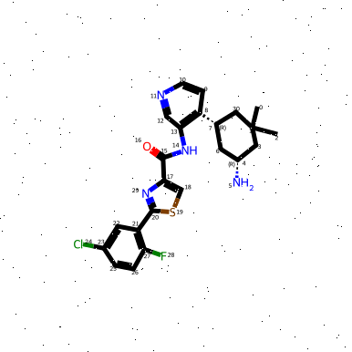 CC1(C)C[C@H](N)C[C@H](c2ccncc2NC(=O)c2csc(-c3cc(Cl)ccc3F)n2)C1